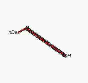 CCCCCCCCCCCCCCCCCCCCCC(=O)OCCOCCOCCOCCOCCOCCOCCOCCOCCOCCOCCOCCOCCOCCOCCOCCOCCOCCOCCOCCOCCOCCOCCO